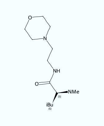 CC[C@H](C)[C@H](NC)C(=O)NCCN1CCOCC1